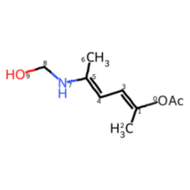 CC(=O)O/C(C)=C/C=C(\C)NCO